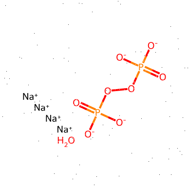 O.O=P([O-])([O-])OOP(=O)([O-])[O-].[Na+].[Na+].[Na+].[Na+]